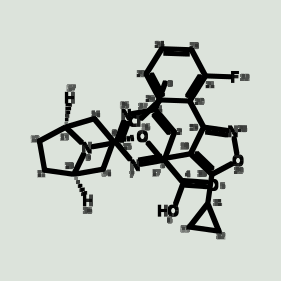 Cc1cc(C(=O)O)nc(N2[C@@H]3CC[C@H]2C[C@H](OCc2c(-c4c(F)cccc4Cl)noc2C2CC2)C3)n1